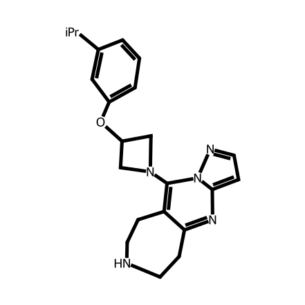 CC(C)c1cccc(OC2CN(c3c4c(nc5ccnn35)CCNCC4)C2)c1